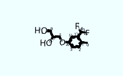 Cc1ccc(OCC(O)CO)cc1C(F)F